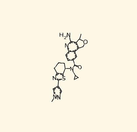 CC1OCc2c1c(N)nc1ccc(C(=O)N(C3CC3)C3CCCc4nc(-c5cnn(C)c5)sc43)cc21